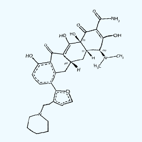 CN(C)[C@@H]1C(O)=C(C(N)=O)C(=O)[C@@]2(O)C(O)=C3C(=O)c4c(O)ccc(-c5occc5CN5CCCCC5)c4C[C@H]3C[C@@H]12